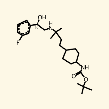 CC(C)(CCC1CCC(NC(=O)OC(C)(C)C)CC1)NC[C@H](O)c1cccc(F)c1